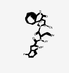 CCCN(C(=O)c1cc2c(F)cccc2[nH]1)C(CC(C)C)C(=O)N1C[C@]2(C[C@H]1C#N)C(=O)Nc1ccccc12